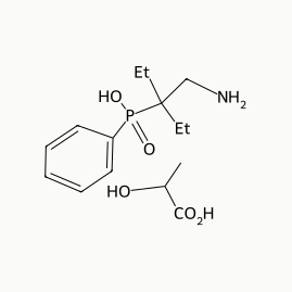 CC(O)C(=O)O.CCC(CC)(CN)P(=O)(O)c1ccccc1